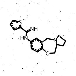 N=C(Nc1ccc2c(c1)CN1CCCC1CO2)c1cccs1